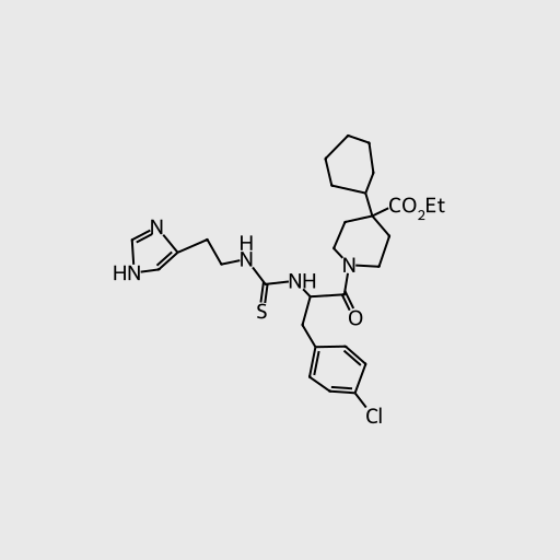 CCOC(=O)C1(C2CCCCC2)CCN(C(=O)C(Cc2ccc(Cl)cc2)NC(=S)NCCc2c[nH]cn2)CC1